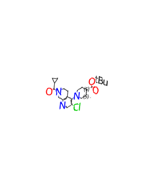 C[C@@H]1CN(c2c(Cl)cnc3c2CCN(C(=O)C2CC2)C3)CC[C@@H]1C(=O)OC(C)(C)C